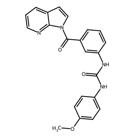 COc1ccc(NC(=O)Nc2cccc(C(=O)n3ccc4cccnc43)c2)cc1